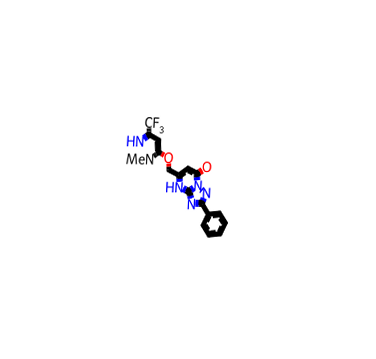 CN/C(=C\C(=N)C(F)(F)F)OCc1cc(=O)n2nc(-c3ccccc3)nc2[nH]1